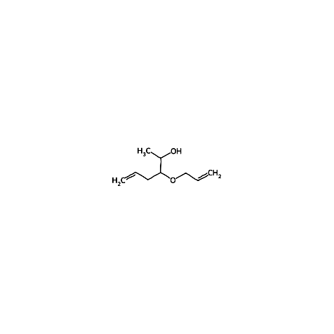 C=CCOC(CC=C)C(C)O